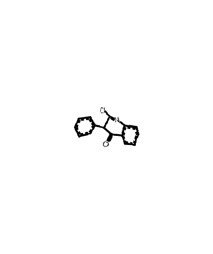 O=C1c2ccccc2N=C(Cl)C1c1ccccc1